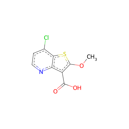 COc1sc2c(Cl)ccnc2c1C(=O)O